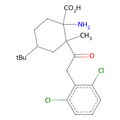 CC(C)(C)C1CCC(N)(C(=O)O)C(C)(C(=O)Cc2c(Cl)cccc2Cl)C1